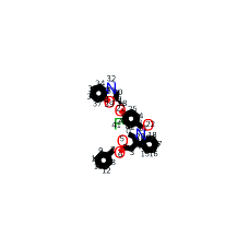 Cc1c(CC(=O)OCc2ccccc2)c2ccccc2n1C(=O)c1ccc(OC[C@@H]2CN(C)c3ccccc3O2)c(F)c1